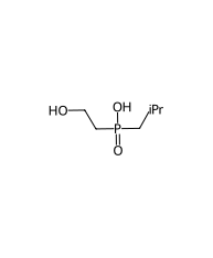 CC(C)CP(=O)(O)CCO